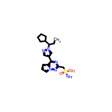 CCC(C1CCCC1)n1cc(-c2nc(CS(=N)(=O)O)nn3cccc23)cn1